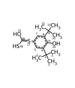 CC(C)(C)c1cccc(C(C)(C)C)c1O.OC(=S)S